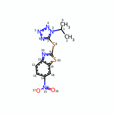 CC(C)n1nnnc1Sc1nc2ccc([N+](=O)[O-])cc2s1